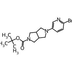 CC(C)(C)OC(=O)N1CC2CN(c3ccc(Br)nc3)CC2C1